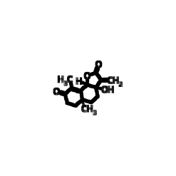 C=C1C(=O)O[C@H]2C3=C(C)C(=O)CC[C@]3(C)CC[C@@]12O